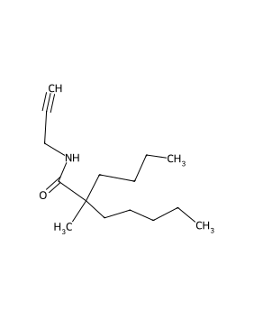 C#CCNC(=O)C(C)(CCCC)CCCCC